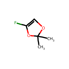 CC1(C)OC=C(F)O1